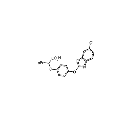 CCCC(Oc1ccc(Oc2nc3ccc(Cl)cc3o2)cc1)C(=O)O